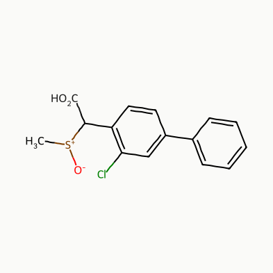 C[S+]([O-])C(C(=O)O)c1ccc(-c2ccccc2)cc1Cl